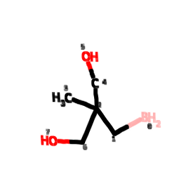 BCC(C)(CO)CO